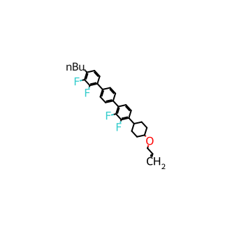 C=CCOC1CCC(c2ccc(-c3ccc(-c4ccc(CCCC)c(F)c4F)cc3)c(F)c2F)CC1